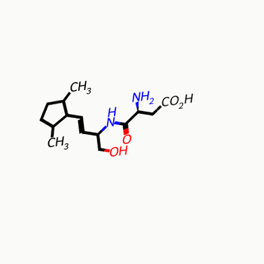 CC1CCC(C)C1C=CC(CO)NC(=O)[C@@H](N)CC(=O)O